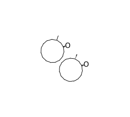 CC1CCCCCCCCCCCCC(=O)C1.C[C@@H]1CCCCCCCCCCCCC(=O)C1